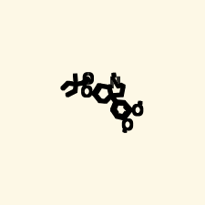 CCC(C)(CC)C(=O)OC1=CC2N(C)CCC2(c2ccc(OC)c(OC)c2)CC1